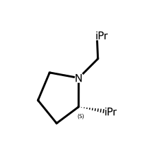 CC(C)CN1CCC[C@H]1C(C)C